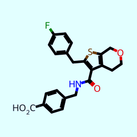 O=C(O)c1ccc(CNC(=O)c2c(Cc3ccc(F)cc3)sc3c2CCOC3)cc1